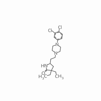 CCC1(CC)CC(CCN2CCN(c3ccc(Cl)c(Cl)c3)CC2)NC1=O